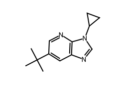 CC(C)(C)c1cnc2c(c1)ncn2C1CC1